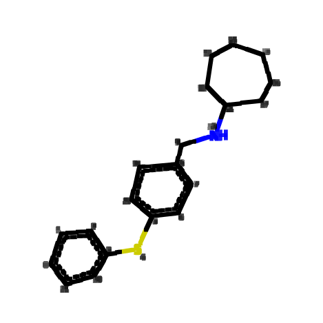 c1ccc(Sc2ccc(CNC3CCCCCC3)cc2)cc1